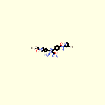 C=CC(=O)N1CC2(CC(c3nc(-c4ccc(C(=O)Nc5cc(CC)ccn5)cc4)c(C(N)=O)n3N)C2)C1